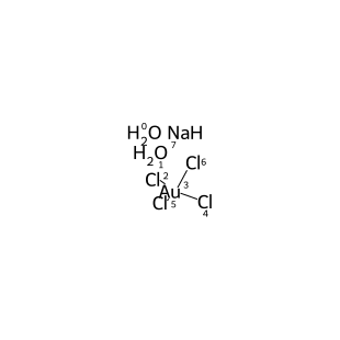 O.O.[Cl][Au]([Cl])([Cl])[Cl].[NaH]